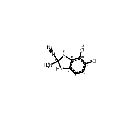 N#[N+]C1(N)Nc2ccc(Cl)c(Cl)c2S1